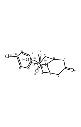 O=C1CC2CC(C(=O)O)CC(C1)N2S(=O)(=O)c1ccc(Cl)cc1